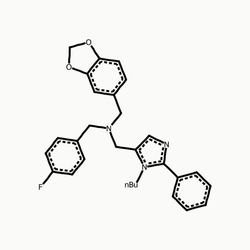 CCCCn1c(CN(Cc2ccc(F)cc2)Cc2ccc3c(c2)OCO3)cnc1-c1ccccc1